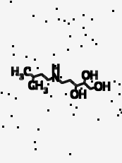 CC(C)CCNCCC(O)C(O)CO